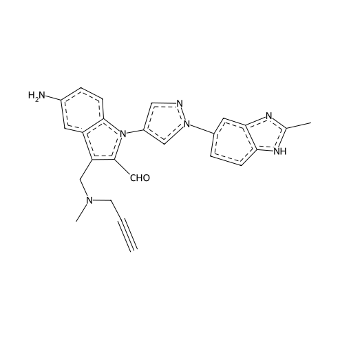 C#CCN(C)Cc1c(C=O)n(-c2cnn(-c3ccc4[nH]c(C)nc4c3)c2)c2ccc(N)cc12